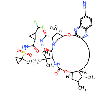 C[C@@H]1[C@@H]2CN(C(=O)[C@H](C(C)(C)C)NC(=O)O[C@@H]3C[C@H](C)[C@H](C)[C@H]3CCCCCc3nc4ccc(C#N)cc4nc3O2)[C@@H]1C(=O)N[C@]1(C(=O)NS(=O)(=O)C2(C)CC2)C[C@H]1C(F)F